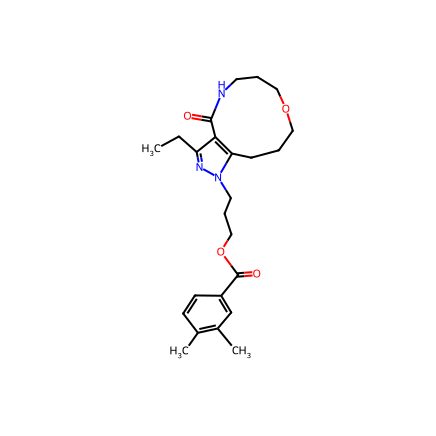 CCc1nn(CCCOC(=O)c2ccc(C)c(C)c2)c2c1C(=O)NCCCOCCC2